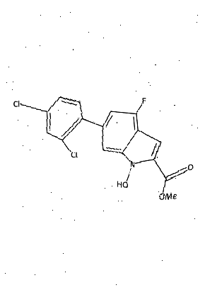 COC(=O)c1cc2c(F)cc(-c3ccc(Cl)cc3Cl)cc2n1O